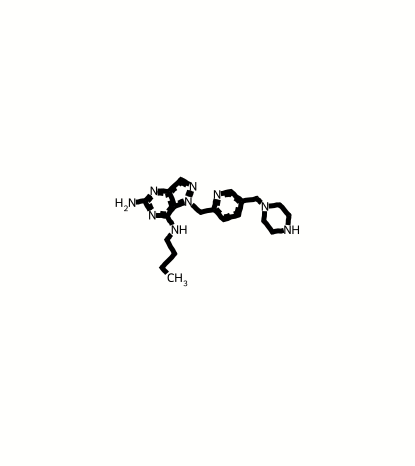 CCCCNc1nc(N)nc2cnn(Cc3ccc(CN4CCNCC4)cn3)c12